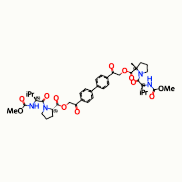 COC(=O)N[C@H](C(=O)N1CCC[C@H]1C(=O)OCC(=O)c1ccc(-c2ccc(C(=O)COC(=O)[C@]3(C)CCCN3C(=O)[C@@H](NC(=O)OC)C(C)C)cc2)cc1)C(C)C